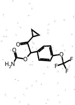 NC(=O)OC(C(=O)C1CC1)c1ccc(OC(F)(F)F)cc1